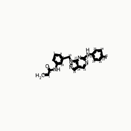 C=CC(=O)Nc1cccc(Cn2ncc3cnc(Nc4ccc(F)cc4)nc32)c1